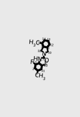 Cc1cc(F)c(NC(=O)N2Cc3cccc(C)c3C2)c(F)c1